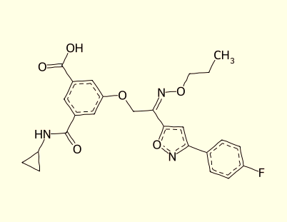 CCCON=C(COc1cc(C(=O)O)cc(C(=O)NC2CC2)c1)c1cc(-c2ccc(F)cc2)no1